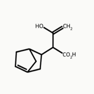 C=C(O)C(C(=O)O)C1CC2=CCC1C2